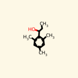 CCC(O)c1c(C)cc(C)cc1C